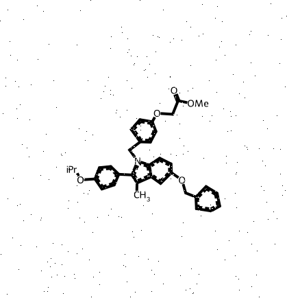 COC(=O)COc1ccc(Cn2c(-c3ccc(OC(C)C)cc3)c(C)c3cc(OCc4ccccc4)ccc32)cc1